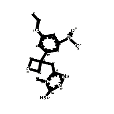 CCOc1cc([N+](=O)[O-])cc(C2(Cc3nnc(S)n3C)COC2)c1